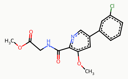 COC(=O)CNC(=O)c1ncc(-c2cccc(Cl)c2)cc1OC